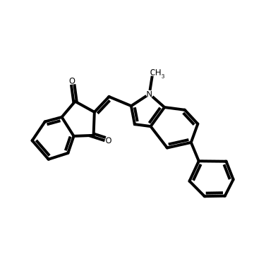 Cn1c(C=C2C(=O)c3ccccc3C2=O)cc2cc(-c3ccccc3)ccc21